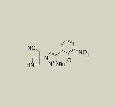 CCCCOc1c(-c2cnn(C3(CC#N)CNC3)c2)cccc1[N+](=O)[O-]